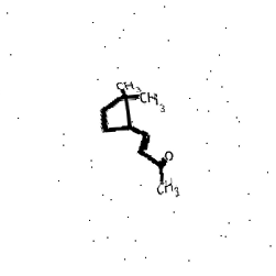 CC(=O)/C=C/C1CCC1(C)C